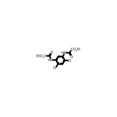 CCOC(=O)C(=O)Nc1cc(NC(=O)C(=O)OCC)c(Cl)cc1Cl